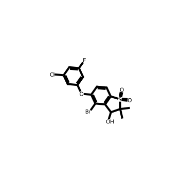 CC1(C)C(O)c2c(ccc(Oc3cc(F)cc(Cl)c3)c2Br)S1(=O)=O